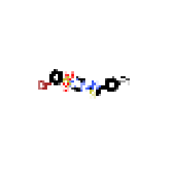 CCc1ccc(-c2csc(N3CCN(S(=O)(=O)c4cccc(Br)c4)CC3)n2)cc1